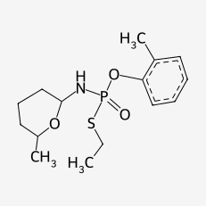 CCSP(=O)(NC1CCCC(C)O1)Oc1ccccc1C